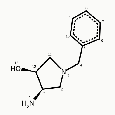 N[C@@H]1CN(Cc2ccccc2)C[C@@H]1O